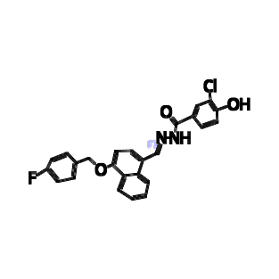 O=C(N/N=C/c1ccc(OCc2ccc(F)cc2)c2ccccc12)c1ccc(O)c(Cl)c1